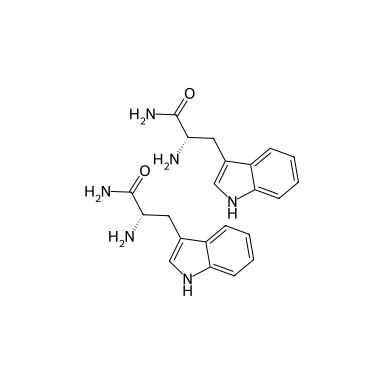 NC(=O)[C@@H](N)Cc1c[nH]c2ccccc12.NC(=O)[C@@H](N)Cc1c[nH]c2ccccc12